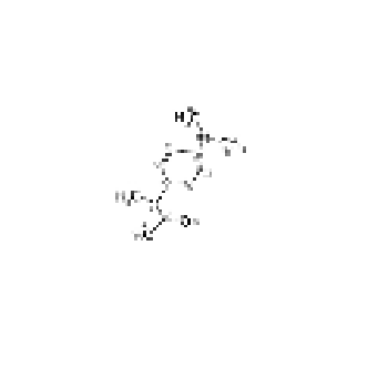 CC(C(=O)O)c1ccc(N(C)C)cc1